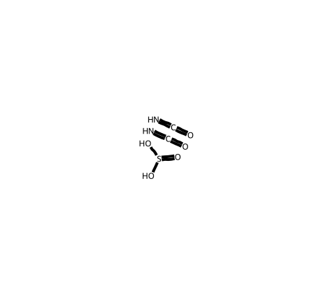 N=C=O.N=C=O.O=S(O)O